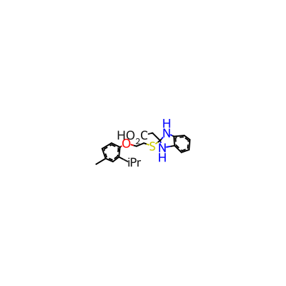 Cc1ccc(OCCSC2(CC(=O)O)Nc3ccccc3N2)c(C(C)C)c1